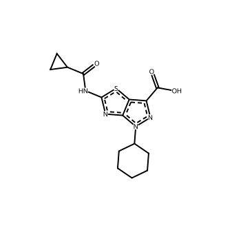 O=C(O)c1nn(C2CCCCC2)c2nc(NC(=O)C3CC3)sc12